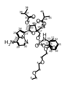 CCOCCOCCOC(=O)[C@H](C)NP(=O)(OC[C@@]1(C#N)O[C@@H](c2ccc3c(N)ccnn23)[C@H](OC(=O)C(C)C)[C@@H]1OC(=O)C(C)C)Oc1ccccc1